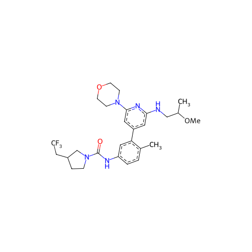 COC(C)CNc1cc(-c2cc(NC(=O)N3CCC(CC(F)(F)F)C3)ccc2C)cc(N2CCOCC2)n1